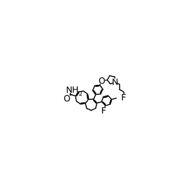 Cc1ccc(C2=C(c3ccc(O[C@H]4CCN(CCCF)C4)cc3)C3=C/C/C=C(/C(N)=O)C/C=C\3CCC2)c(F)c1